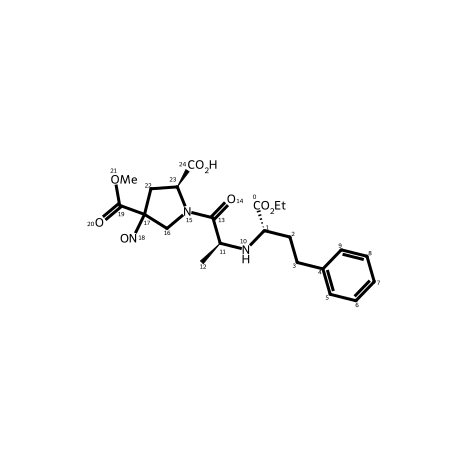 CCOC(=O)[C@H](CCc1ccccc1)N[C@@H](C)C(=O)N1CC(N=O)(C(=O)OC)C[C@H]1C(=O)O